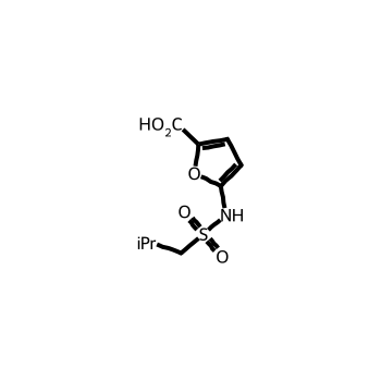 CC(C)CS(=O)(=O)Nc1ccc(C(=O)O)o1